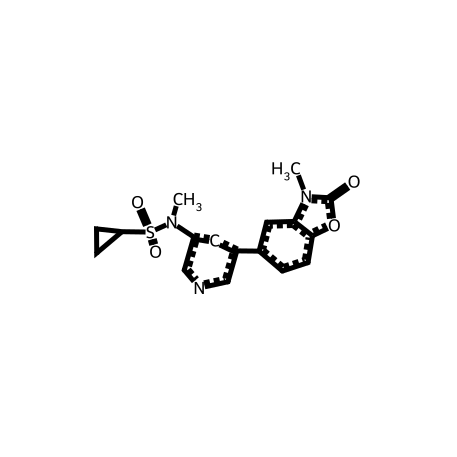 CN(c1cncc(-c2ccc3oc(=O)n(C)c3c2)c1)S(=O)(=O)C1CC1